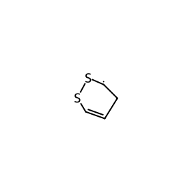 [CH]1CC=CSS1